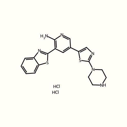 Cl.Cl.Nc1ncc(-c2cnc(N3CCNCC3)s2)cc1-c1nc2ccccc2s1